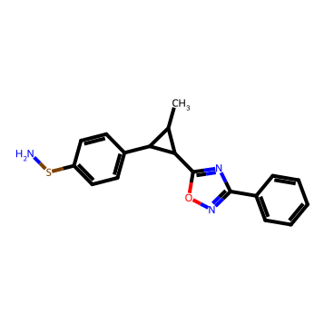 CC1C(c2ccc(SN)cc2)C1c1nc(-c2ccccc2)no1